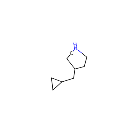 C1C[C](CC2CC2)CCN1